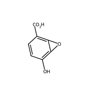 O=C(O)c1ccc(O)c2c1O2